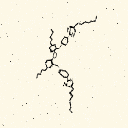 CCCCCCCc1cnc([C@H]2CC[C@H](Cc3cc(CCCCC)ccc3Oc3ccc(CCCCC)cc3C[C@H]3CC[C@H](c4ncc(CCCCCCC)cn4)CC3)CC2)nc1